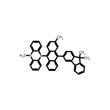 Cc1ccc2c(N3c4ccccc4N(C)c4ccccc43)c3ccccc3c(-c3ccc4c(c3)-c3ccccc3C4(C)C)c2c1